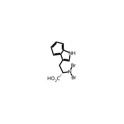 O=C(O)[C@H](Cc1c[nH]c2ccccc12)N(Br)Br